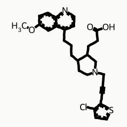 COc1ccc2nccc(CCCC3CCN(CC#Cc4sccc4Cl)CC3CCC(=O)O)c2c1